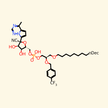 CCCCCCCCCCCCCCCCCCOC[C@H](COP(=O)(O)OC[C@H]1O[C@@](C#N)(c2ccc3c(C)ncnn23)[C@H](O)[C@@H]1O)OCc1ccc(C(F)(F)F)cc1